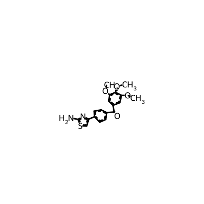 COc1cc(C(=O)c2ccc(-c3csc(N)n3)cc2)cc(OC)c1OC